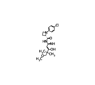 COCC(C)(C)/C(O)=C/C(=N)NC(=O)[C@@H]1CCN1c1ccc(Cl)cc1